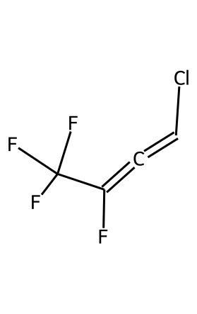 FC(=C=CCl)C(F)(F)F